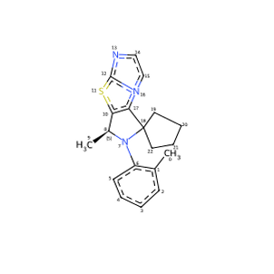 Cc1ccccc1N1[C@@H](C)c2sc3nccn3c2C12CCCC2